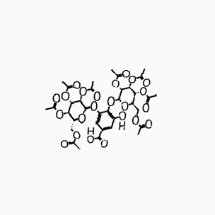 CC(=O)OC[C@H]1OC(Oc2cc(C(=O)O)cc(O)c2OC2O[C@H](COC(C)=O)[C@@H](OC(C)=O)[C@H](OC(C)=O)[C@H]2OC(C)=O)[C@H](OC(C)=O)[C@@H](OC(C)=O)[C@@H]1OC(C)=O